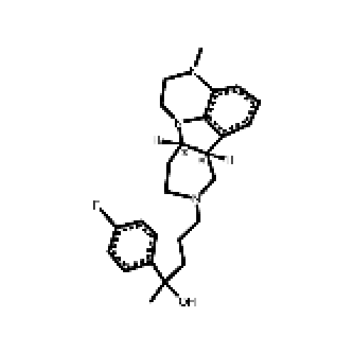 CN1CCN2c3c(cccc31)[C@@H]1CN(CCCC(C)(O)c3ccc(F)cc3)CC[C@@H]12